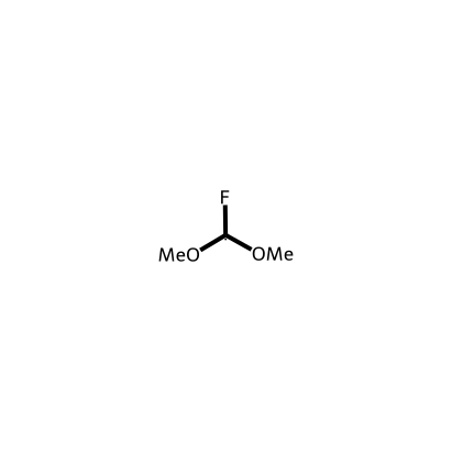 CO[C](F)OC